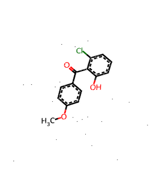 COc1ccc(C(=O)c2c(O)cccc2Cl)cc1